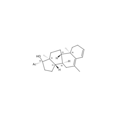 CC(=O)[C@@]1(O)CC[C@H]2[C@@H]3CC(C)=C4C=CCC[C@]4(C)[C@H]3CC[C@@]21C